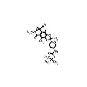 COC(=O)c1c(C)c2c(c(F)c1C1(C#N)CC1)OC(C)([C@@H]1CC[C@@H](NC(=O)OC(C)(C)C)CO1)O2